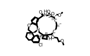 COCCO[C@H]1CC[C@@H](C)C[C@@H](COC)S(=O)(=O)NC(=O)c2ccc3c(c2)N(C[C@@H]2CC[C@H]21)C[C@@]1(CCCc2cc(Cl)ccc21)CO3